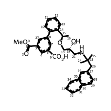 COC(=O)c1cc(C(=O)O)cc(-c2ccccc2C(C)OC[C@H](O)CNC(C)(C)Cc2ccc3ccccc3c2)c1